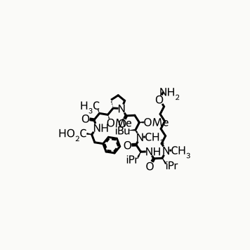 CC[C@H](C)[C@@H]([C@@H](CC(=O)N1CCC[C@H]1[C@H](OC)[C@@H](C)C(=O)N[C@@H](Cc1ccccc1)C(=O)O)OC)N(C)C(=O)[C@@H](NC(=O)[C@H](C(C)C)N(C)CCCCCCON)C(C)C